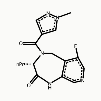 CCC[C@H]1C(=O)Nc2cncc(F)c2CN1C(=O)c1cnn(C)c1